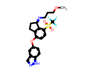 COCCC/N=C1/CCc2c(Oc3ccc4[nH]ncc4c3)ccc(S(=O)(=O)C(F)(F)F)c21